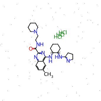 Cc1ccc2nc(C(=O)NCCN3CCCCC3)nc(N[C@H]3CCCC[C@H]3NC3=NCCC3)c2c1.Cl.Cl.Cl